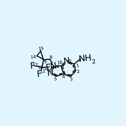 Nc1ccc2cnn(CC3(C(F)(F)F)CC3)c2n1